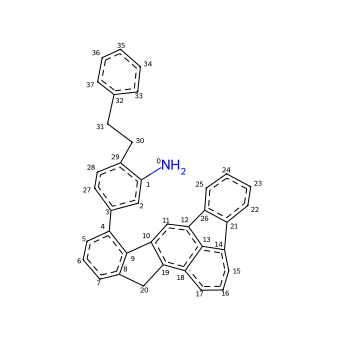 Nc1cc(-c2cccc3c2-c2cc4c5c(cccc5c2C3)-c2ccccc2-4)ccc1CCc1ccccc1